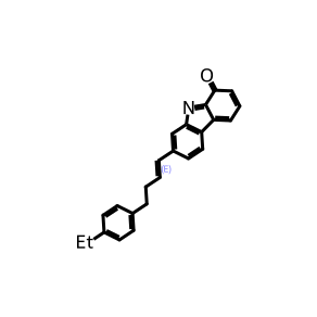 CCc1ccc(CC/C=C/c2ccc3c(c2)N=C2C(=O)C=CC=C23)cc1